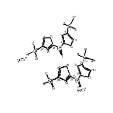 Cl.Cl.[CH2]=[Hf]([C]1=CC([Si](C)(C)C)=CC1)[C]1=CC([Si](C)(C)C)=CC1.[CH2]=[Hf]([C]1=CC([Si](C)(C)C)=CC1)[C]1=CC([Si](C)(C)C)=CC1